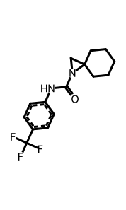 O=C(Nc1ccc(C(F)(F)F)cc1)N1CC12CCCCC2